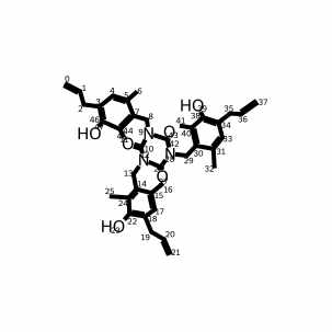 C=CCc1cc(C)c(Cn2c(=O)n(Cc3c(C)cc(CC=C)c(O)c3C)c(=O)n(Cc3c(C)cc(CC=C)c(O)c3C)c2=O)c(C)c1O